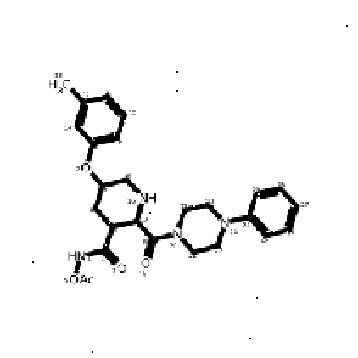 CC(=O)ONC(=O)C1CC(Oc2cccc(C)c2)CNC1C(=O)N1CCN(c2ccccc2)CC1